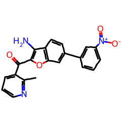 Cc1ncccc1C(=O)c1oc2cc(-c3cccc([N+](=O)[O-])c3)ccc2c1N